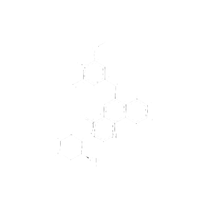 COc1cc(Cc2cc3c(=O)n([C@H]4CCOC[C@@H]4O)cnc3c3ccccc23)cc(Cl)n1